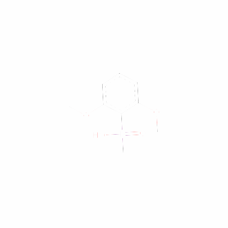 COc1cccc(OC)c1P(C)(=O)O